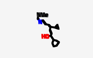 CN\C=N/C=C/C=C(\C=C\C(O)C1CCCCC1)C1CC1